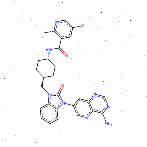 Cc1ncc(Cl)cc1C(=O)N[C@H]1CC[C@H](Cn2c(=O)n(-c3cnc4c(N)ncnc4c3)c3ccccc32)CC1